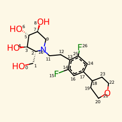 OC[C@@H]1[C@@H](O)[C@H](O)[C@@H](O)CN1CCc1c(F)cc(C2CCOCC2)cc1F